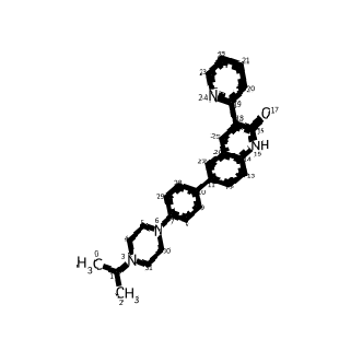 CC(C)N1CCN(c2ccc(-c3ccc4[nH]c(=O)c(-c5ccccn5)cc4c3)cc2)CC1